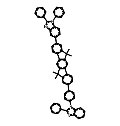 CC1(C)c2cc(-c3ccc(-n4c(-c5ccccc5)nc5ccccc54)cc3)ccc2-c2cc3c(cc21)-c1ccc(-c2ccc4c(c2)nc(-c2ccccc2)n4-c2ccccc2)cc1C3(C)C